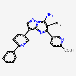 Bc1c(-c2ccc(C(=O)O)nc2)nc2c(-c3ccc(-c4ccccc4)nc3)cnn2c1N